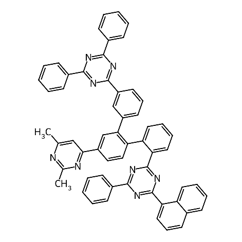 Cc1cc(-c2ccc(-c3ccccc3-c3nc(-c4ccccc4)nc(-c4cccc5ccccc45)n3)c(-c3cccc(-c4nc(-c5ccccc5)nc(-c5ccccc5)n4)c3)c2)nc(C)n1